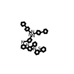 N#Cc1cc(-c2nc(-c3ccc(-c4ccccc4)cc3)nc(-c3ccc(-c4ccccc4)cc3)n2)ccc1-n1c2ccccc2c2ccc3c(c4ccccc4n3-c3cccc4c3sc3ccccc34)c21